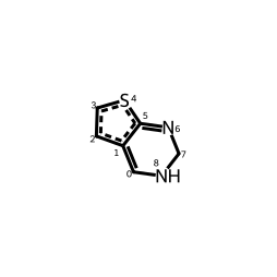 C1=c2ccsc2=NCN1